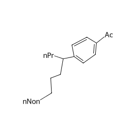 CCCCCCCCCCCCC(CCC)c1ccc(C(C)=O)cc1